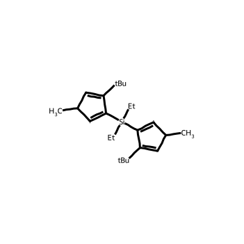 CC[Si](CC)(C1=[C]C(C)C=C1C(C)(C)C)C1=[C]C(C)C=C1C(C)(C)C